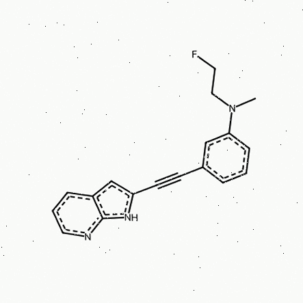 CN(CCF)c1cccc(C#Cc2cc3cccnc3[nH]2)c1